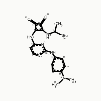 CC(Nc1c(Nc2ccnc(Nc3ccc(N(C)C)cc3)n2)c(=O)c1=O)C(C)(C)C